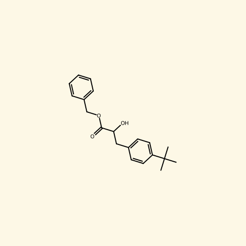 CC(C)(C)c1ccc(CC(O)C(=O)OCc2ccccc2)cc1